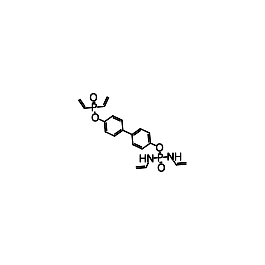 C=CNP(=O)(NC=C)Oc1ccc(-c2ccc(OP(=O)(C=C)C=C)cc2)cc1